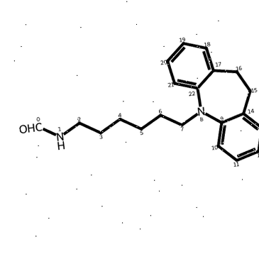 O=CNCCCCCCN1c2ccccc2CCc2ccccc21